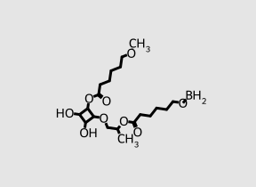 BOCCCCCC(=O)OC(C)COC1C(O)C(O)C1OC(=O)CCCCCOC